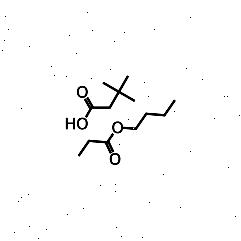 CC(C)(C)CC(=O)O.CCCCOC(=O)CC